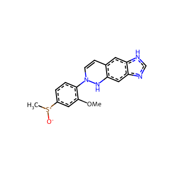 COc1cc([S+](C)[O-])ccc1N1C=Cc2cc3[nH]cnc3cc2N1